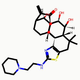 C=C1C(=O)[C@]23[C@H](O)C1CC[C@H]2[C@@]12CO[C@]3(O)[C@@H](O)[C@@H]1C(C)(C)Cc1sc(NCCN3CCCCC3)nc12